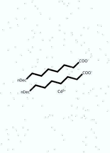 CCCCCCCCCCCCCCCCC(=O)[O-].CCCCCCCCCCCCCCCCC(=O)[O-].[Cd+2]